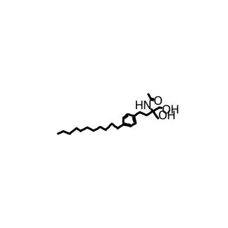 CCCCCCCCCCCc1ccc(CCC(CO)(CO)NC(C)=O)cc1